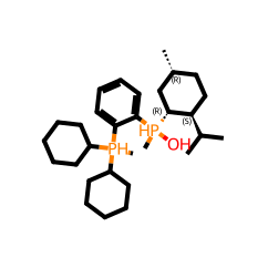 CC(C)[C@@H]1CC[C@@H](C)C[C@H]1[PH](C)(O)c1ccccc1[PH](C)(C1CCCCC1)C1CCCCC1